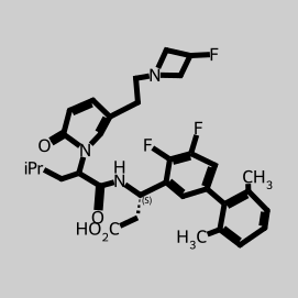 Cc1cccc(C)c1-c1cc(F)c(F)c([C@H](CC(=O)O)NC(=O)C(CC(C)C)n2cc(CCN3CC(F)C3)ccc2=O)c1